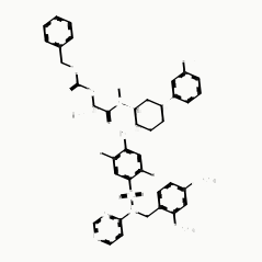 COc1ccc(CN(c2ccncn2)S(=O)(=O)c2cc(Cl)c(N[C@H]3CC[C@H](c4cccc(C(F)(F)F)c4)C[C@@H]3N(C)C(=O)[C@@H](NC(=O)OCc3ccccc3)C(C)C)cc2F)c(OC)c1